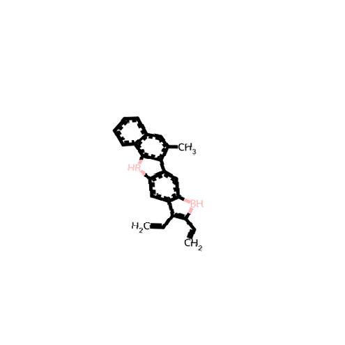 C=CC1=C(C=C)c2cc3c(cc2B1)-c1c(C)cc2ccccc2c1B3